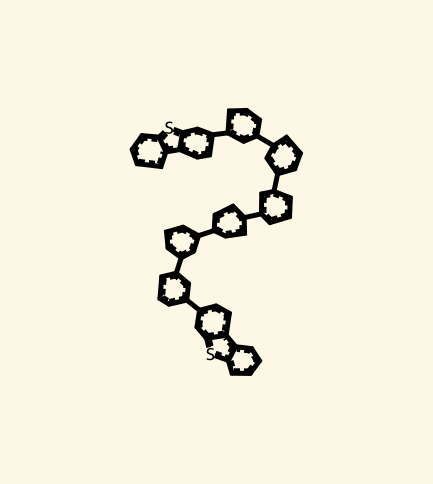 c1cc(-c2ccc(-c3cccc(-c4cccc(-c5ccc6c(c5)sc5ccccc56)c4)c3)cc2)cc(-c2cccc(-c3cccc(-c4ccc5c(c4)sc4ccccc45)c3)c2)c1